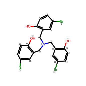 Oc1ccc(Br)cc1CN(Cc1cc(Br)ccc1O)Cc1cc(Br)ccc1O